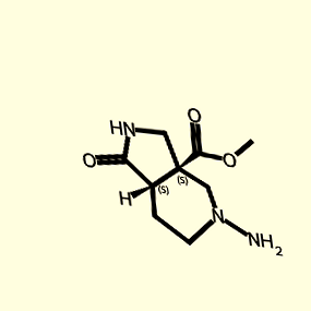 COC(=O)[C@]12CNC(=O)[C@H]1CCN(N)C2